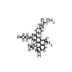 C=CC(=O)N1CC2(CCN(c3nc(N4CC5(CC(F)C5)C4)nc4c(OCC(F)(F)F)c(-c5c(C)ccc6[nH]ncc56)c(C5CC5)cc34)CC2)C1